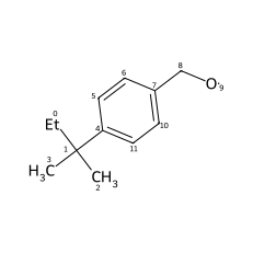 CCC(C)(C)c1ccc(C[O])cc1